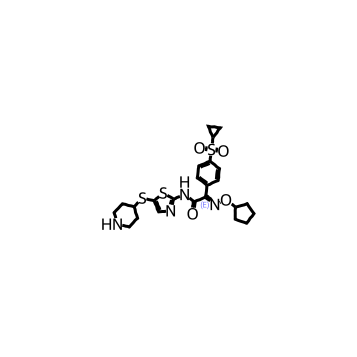 O=C(Nc1ncc(SC2CCNCC2)s1)/C(=N/OC1CCCC1)c1ccc(S(=O)(=O)C2CC2)cc1